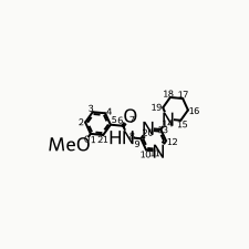 COc1cccc(C(=O)Nc2cncc(N3CCCCC3)n2)c1